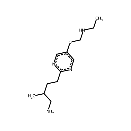 CCNCOc1cnc(CCC(C)CN)nc1